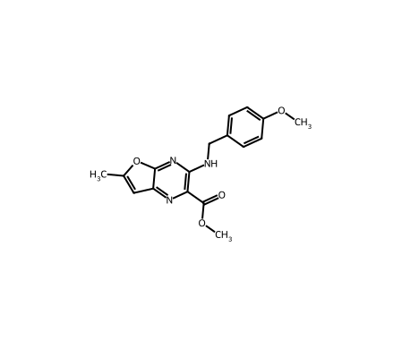 COC(=O)c1nc2cc(C)oc2nc1NCc1ccc(OC)cc1